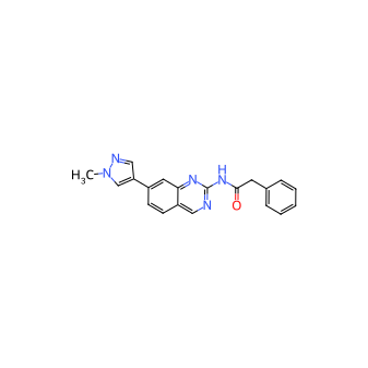 Cn1cc(-c2ccc3cnc(NC(=O)Cc4ccccc4)nc3c2)cn1